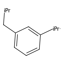 C[C](C)c1cccc(CC(C)C)c1